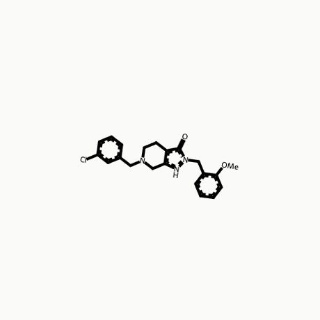 COc1ccccc1Cn1[nH]c2c(c1=O)CCN(Cc1cccc(Cl)c1)C2